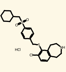 Cl.O=S(=O)(CC1CCCCC1)c1ccc(CSc2c(Cl)ccc3c2CCNCC3)cc1